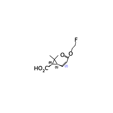 CC1(C)[C@H](C(=O)O)[C@@H]1/C=C\C(=O)OCCF